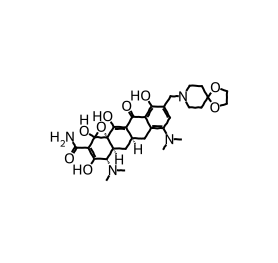 CN(C)c1cc(CN2CCC3(CC2)OCCO3)c(O)c2c1C[C@H]1C[C@H]3[C@H](N(C)C)C(O)=C(C(N)=O)C4(O)O[C@]34C(O)=C1C2=O